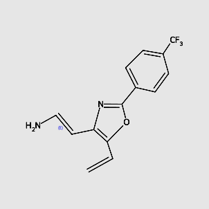 C=Cc1oc(-c2ccc(C(F)(F)F)cc2)nc1/C=C/N